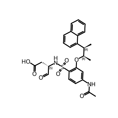 CC(=O)Nc1ccc(S(=O)(=O)N[C@H](C=O)CC(=O)O)c(O[C@H](C)[C@H](C)c2cccc3ccccc23)c1